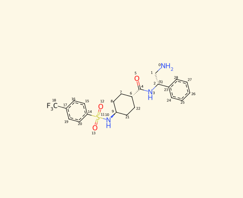 NC[C@@H](NC(=O)[C@H]1CC[C@H](NS(=O)(=O)c2ccc(C(F)(F)F)cc2)CC1)c1ccccc1